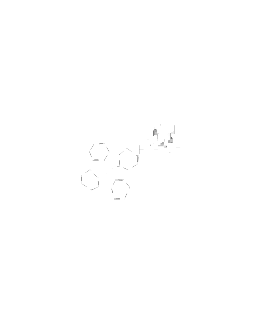 FC(F)(F)[C](F)(F)[Ga-]([I])([C](F)(F)C(F)(F)F)[C](F)(F)C(F)(F)F.c1ccc([P+](c2ccccc2)(c2ccccc2)c2ccccc2)cc1